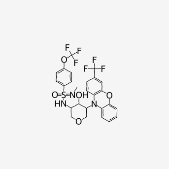 CN=S(=O)(NC1COCC(N2c3ccccc3Oc3cc(C(F)(F)F)ccc32)C1O)c1ccc(OC(F)(F)F)cc1